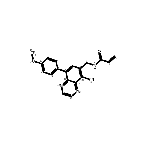 C=CC(=O)NCc1cc(-c2ccc(OC(F)(F)F)cc2)c2nccnc2c1C#N